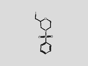 O=S(=O)(c1ccccc1)N1CCOC(CI)C1